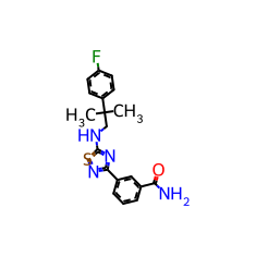 CC(C)(CNc1nc(-c2cccc(C(N)=O)c2)ns1)c1ccc(F)cc1